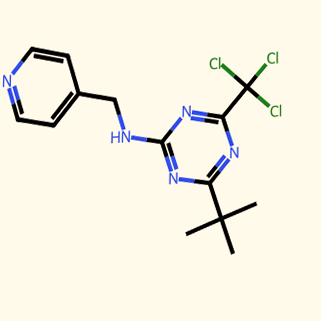 CC(C)(C)c1nc(NCc2ccncc2)nc(C(Cl)(Cl)Cl)n1